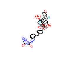 C[C@H](N)C(=O)N[C@@H](C)C(=O)CNc1cccc(Cc2ccc([C@@H]3O[C@@H]4C[C@H]5[C@@H]6C[C@H](F)C7=CC(=O)C=C[C@]7(C)[C@@]6(F)[C@@H](O)C[C@]5(C)[C@]4(C(=O)CO)O3)cc2)c1